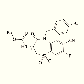 CC(C)(C)OC(=O)N[C@H]1CS(=O)(=O)c2cc(F)c(C#N)cc2N(Cc2ccc(Cl)cc2)C1=O